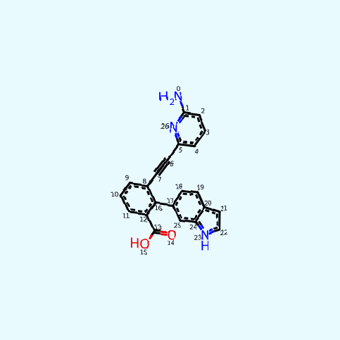 Nc1cccc(C#Cc2cccc(C(=O)O)c2-c2ccc3cc[nH]c3c2)n1